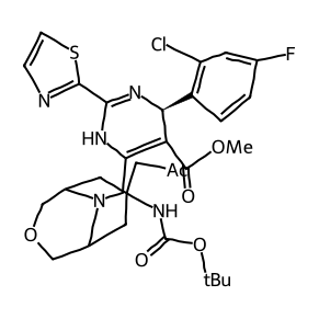 COC(=O)C1=C(CN2C3COCC2CC(CC(C)=O)(NC(=O)OC(C)(C)C)C3)NC(c2nccs2)=N[C@H]1c1ccc(F)cc1Cl